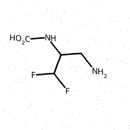 NCC(NC(=O)O)C(F)F